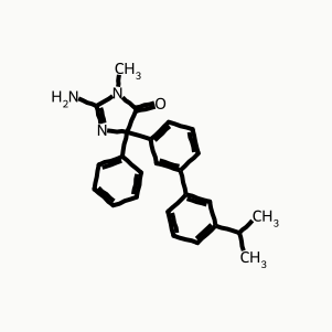 CC(C)c1cccc(-c2cccc(C3(c4ccccc4)N=C(N)N(C)C3=O)c2)c1